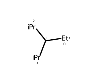 C[C]C(C(C)C)C(C)C